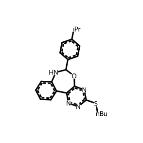 CCCCSc1nnc2c(n1)OC(c1ccc(C(C)C)cc1)Nc1ccccc1-2